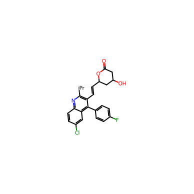 CC(C)c1nc2ccc(Cl)cc2c(-c2ccc(F)cc2)c1C=CC1CC(O)CC(=O)O1